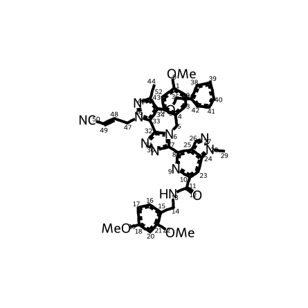 COc1ccc(Cn2c(-c3nc(C(=O)NCc4ccc(OC)cc4OC)cc4c3cnn4C)nnc2-c2c(OCc3ccccc3)c(C)nn2C/C=C/C#N)cc1